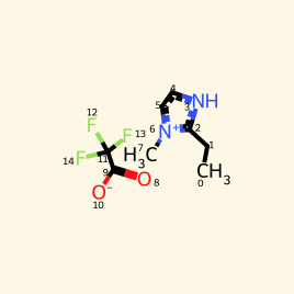 CCc1[nH]cc[n+]1C.O=C([O-])C(F)(F)F